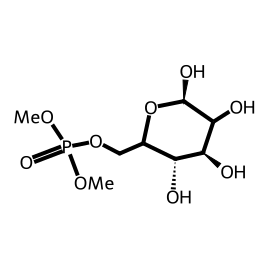 COP(=O)(OC)OCC1O[C@@H](O)C(O)[C@@H](O)[C@@H]1O